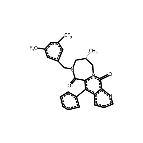 C[C@H]1CN(Cc2cc(C(F)(F)F)cc(C(F)(F)F)c2)C(=O)c2c(-c3ccccc3)c3cccnc3c(=O)n2C1